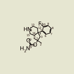 CC(C)(CC1(c2ccccc2F)CCNCC1)OC(N)=O